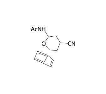 CC(=O)NC1CC(C#N)CCO1.c1cc2ccc1-2